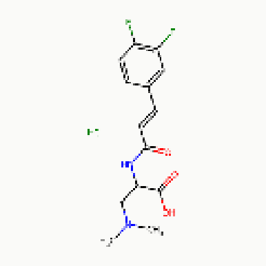 CN(C)CC(NC(=O)/C=C/c1ccc(F)c(F)c1)C(=O)O.Cl